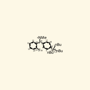 CCCC[Si](CCCC)(CCCC)c1ccc(P(NC)c2ccccc2F)cc1